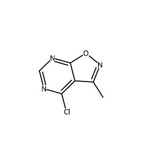 Cc1noc2ncnc(Cl)c12